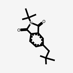 CC(C)(C)Cc1ccc2c(c1)C(=O)N(C(C)(C)C)C2=O